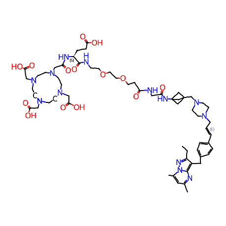 CCc1nn2c(C)cc(C)nc2c1Cc1ccc(/C=C/CN2CCN(CC34CC(NC(=O)CNC(=O)CCOCCOCCNC(=O)[C@H](CCC(=O)O)NC(=O)CN5CCN(CC(=O)O)CCN(CC(=O)O)CCN(CC(=O)O)CC5)(C3)C4)CC2)cc1